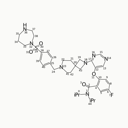 CC(C)N(C(=O)c1cc(F)ccc1Oc1cncnc1N1CC2(CCN(Cc3ccc(S(=O)(=O)N4CCCNCC4)cc3)CC2)C1)C(C)C